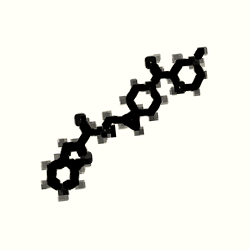 CN1CCOC(C(=O)N2CCC3(CC2)CC3CNC(=O)c2cc3ccncc3o2)C1